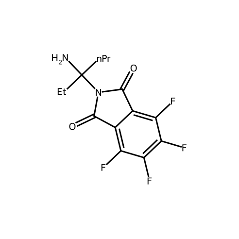 CCCC(N)(CC)N1C(=O)c2c(F)c(F)c(F)c(F)c2C1=O